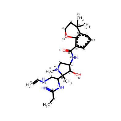 C=CNCC(NC(=N)CC)C1(C)C(O)C(NC(=O)c2cccc3c2OCCC3(C)C)CN1C